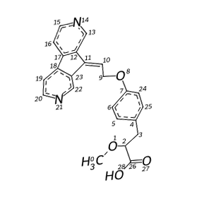 COC(Cc1ccc(OCC=C2c3cnccc3-c3ccncc32)cc1)C(=O)O